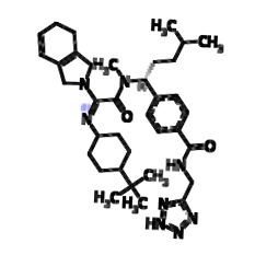 CC(C)CC[C@H](c1ccc(C(=O)NCc2nn[nH]n2)cc1)N(C)C(=O)/C(=N\C1CCC(C(C)(C)C)CC1)N1CC2=C(CCC=C2)C1